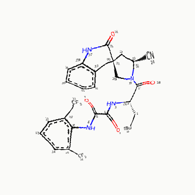 CC(C)(C)C[C@H](NC(=O)C(=O)Nc1c(C(F)(F)F)cccc1C(F)(F)F)C(=O)N1C[C@]2(C[C@H]1C#N)C(=O)Nc1ccccc12